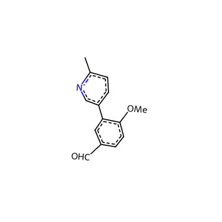 COc1ccc(C=O)cc1-c1ccc(C)nc1